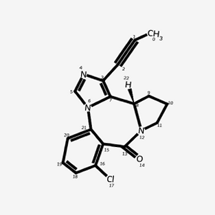 CC#Cc1ncn2c1[C@@H]1CCCN1C(=O)c1c(Cl)cccc1-2